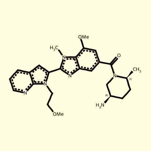 COCCn1c(-c2nc3cc(C(=O)N4C[C@H](N)CC[C@@H]4C)cc(OC)c3n2C)cc2cccnc21